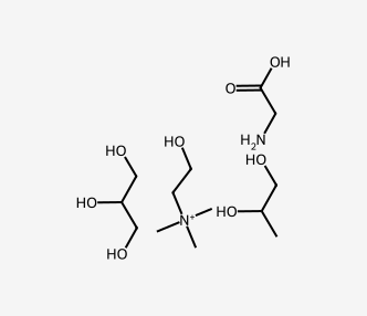 CC(O)CO.C[N+](C)(C)CCO.NCC(=O)O.OCC(O)CO